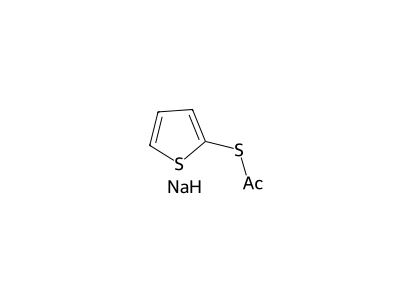 CC(=O)Sc1cccs1.[NaH]